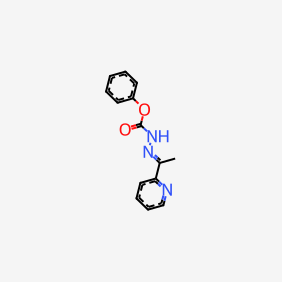 C/C(=N\NC(=O)Oc1ccccc1)c1ccccn1